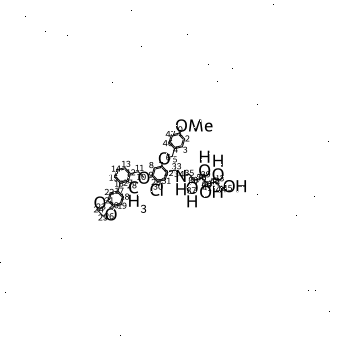 COc1ccc(COc2cc(OCc3cccc(-c4ccc5c(c4)OCCO5)c3C)c(Cl)cc2CNC[C@H](O)[C@@H](O)[C@H](O)[C@H](O)CO)cc1